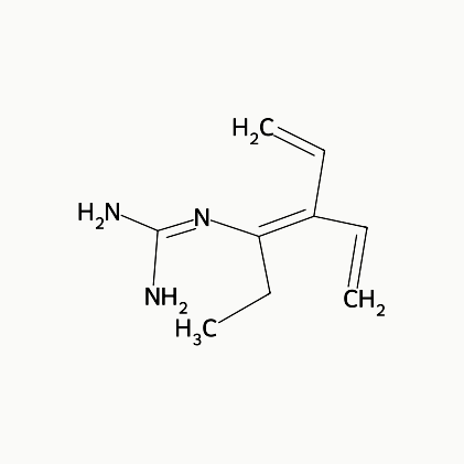 C=CC(C=C)=C(CC)N=C(N)N